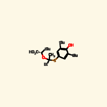 CC[C@](C)(O[C@H](C(=O)O)C(C)(C)C)Sc1cc(C(C)(C)C)c(O)c(C(C)(C)C)c1